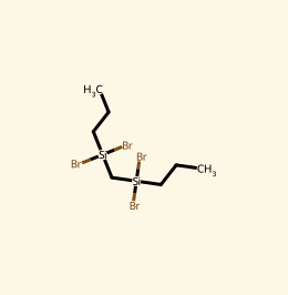 CCC[Si](Br)(Br)C[Si](Br)(Br)CCC